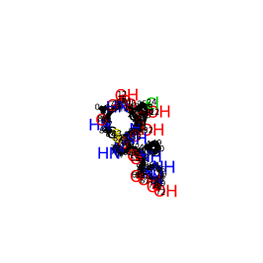 CC(C)C[C@@H]1CC(=O)[C@H](CC(=O)O)NC(=O)[C@H](Cc2ccc(O)c(Cl)c2)CC(=O)[C@@H]2C[C@@H](O)CN2C(=O)[C@@H](NC(=O)[C@@H](CC(=O)[C@H](Cc2ccccc2)NC(=O)CCC(C(=O)O)N2CCNCCN(CC(=O)O)CC2)Cc2c[nH]cn2)CSSC[C@@H](C)NC1=O